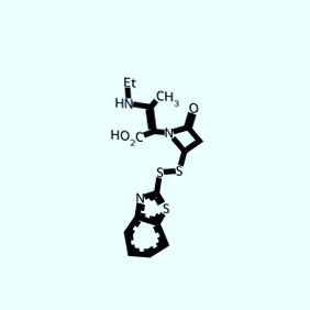 CCN/C(C)=C(\C(=O)O)N1C(=O)CC1SSc1nc2ccccc2s1